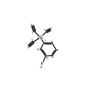 C#C[Si](C#C)(C#C)c1cccc(F)c1